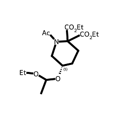 CCOC(=O)C1(C(=O)OCC)CC[C@H](OC(C)OCC)CN1C(C)=O